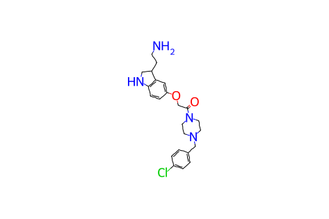 NCCC1CNc2ccc(OCC(=O)N3CCN(Cc4ccc(Cl)cc4)CC3)cc21